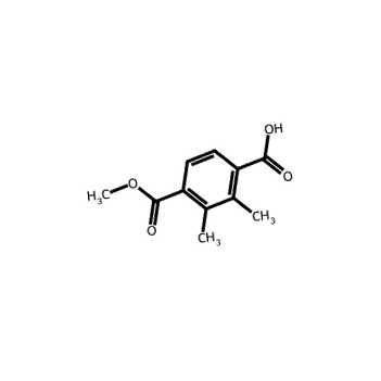 COC(=O)c1ccc(C(=O)O)c(C)c1C